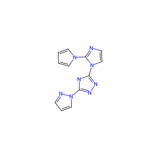 c1ccn(-c2nccn2C2=NN=C(n3cccn3)[N]2)c1